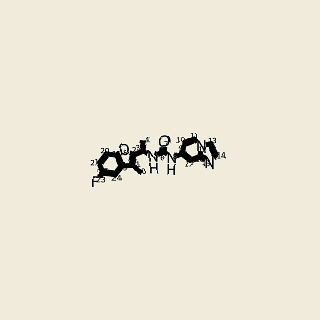 Cc1c(C(C)NC(=O)Nc2ccn3ccnc3c2)oc2ccc(F)cc12